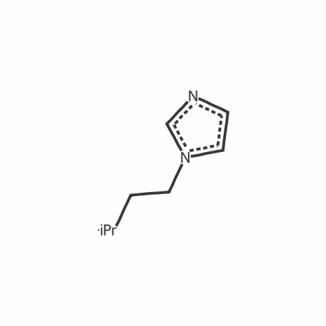 C[C](C)CCn1ccnc1